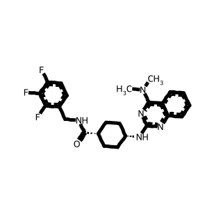 CN(C)c1nc(N[C@H]2CC[C@@H](C(=O)NCc3ccc(F)c(F)c3F)CC2)nc2ccccc12